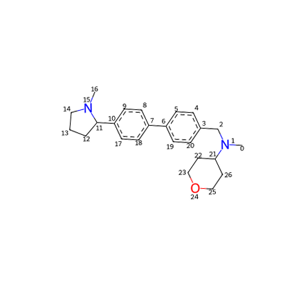 CN(Cc1ccc(-c2ccc(C3CCCN3C)cc2)cc1)C1CCOCC1